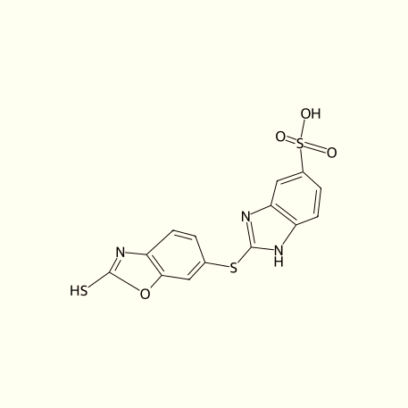 O=S(=O)(O)c1ccc2[nH]c(Sc3ccc4nc(S)oc4c3)nc2c1